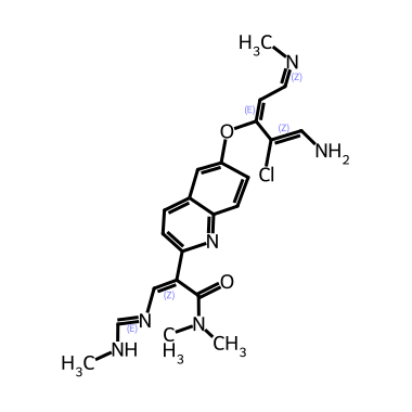 C\N=C/C=C(Oc1ccc2nc(/C(=C/N=C/NC)C(=O)N(C)C)ccc2c1)\C(Cl)=C\N